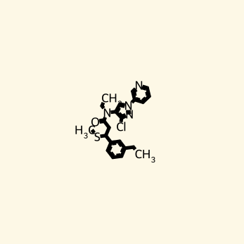 CCc1cccc(C(CC(=O)N(CC)c2cn(-c3cccnc3)nc2Cl)SC)c1